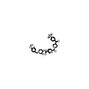 CS(=O)(=O)c1ccc(C(=O)C2CCN(C(=O)c3ccc(C(=O)N[C@@H]4CCN(Cc5ccc(OC(F)(F)F)cc5)C[C@H]4F)cn3)CC2)cc1